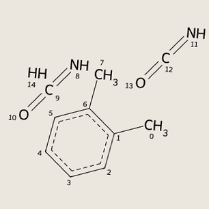 Cc1ccccc1C.N=C=O.N=C=O.[HH]